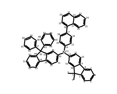 CC1(C)c2ccccc2-c2ccc(N(c3ccc(-c4cccc5ccccc45)cc3)c3ccc4c(c3)C(c3ccccc3)(c3ccccc3)c3ccccc3-4)cc21